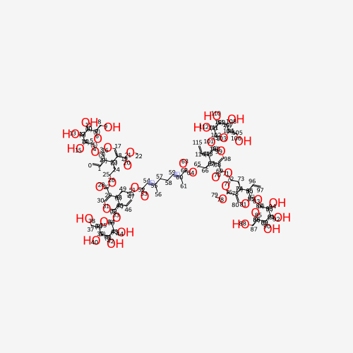 C=C[C@H]1[C@H](O[C@@H]2O[C@H](CO)[C@@H](O)[C@H](O)[C@H]2O)OC=C(C(=O)OC)[C@H]1CCOC(=O)C1=CO[C@@H](O[C@@H]2O[C@H](CO)[C@@H](O)[C@H](O)[C@H]2O)[C@H](C=C)[C@@H]1CCOC(=O)/C=C(\C)CC/C=C(\C)C(=O)OCC[C@@H]1C(C(=O)OCC[C@@H]2C(C(=O)OC)=CO[C@@H](O[C@@H]3O[C@H](CO)[C@@H](O)[C@H](O)[C@H]3O)[C@@H]2C=C)=CO[C@@H](O[C@@H]2O[C@H](CO)[C@@H](O)[C@H](O)[C@H]2O)[C@@H]1C=C